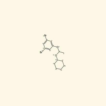 CC(Oc1cc(Br)cc(Br)c1)OC1CCCCC1